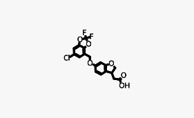 O=C(O)CC1COc2cc(OCc3cc(Cl)cc4c3OC(F)(F)O4)ccc21